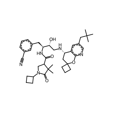 CC(C)(C)Cc1cnc2c(c1)[C@@H](NC[C@@H](O)[C@H](Cc1cccc(C#N)c1)NC(=O)C1CN(C3CCC3)C(=O)C1(C)C)CC1(CCC1)O2